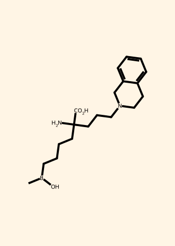 CB(O)CCCCC(N)(CCCN1CCc2ccccc2C1)C(=O)O